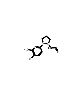 Cc1nc(N2CCCN2NC=O)ccc1Br